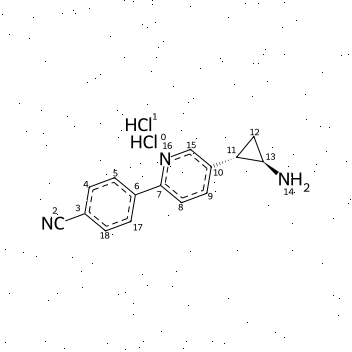 Cl.Cl.N#Cc1ccc(-c2ccc([C@@H]3C[C@H]3N)cn2)cc1